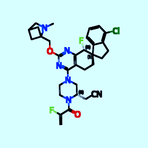 C=C(F)C(=O)N1CCN(c2nc(OCC34CC(CN3C)C4)nc3c2CC[C@@]2(CCc4c(Cl)cccc42)[C@H]3F)C[C@@H]1CC#N